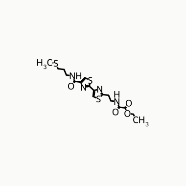 CCOC(=O)C(=O)NCCc1nc(-c2nc(C(=O)NCCCSC)cs2)cs1